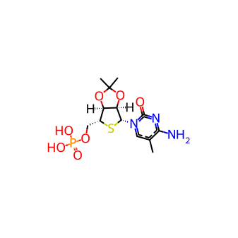 Cc1cn([C@@H]2S[C@H](COP(=O)(O)O)[C@H]3OC(C)(C)O[C@H]32)c(=O)nc1N